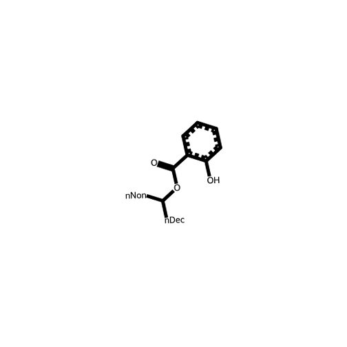 CCCCCCCCCCC(CCCCCCCCC)OC(=O)c1ccccc1O